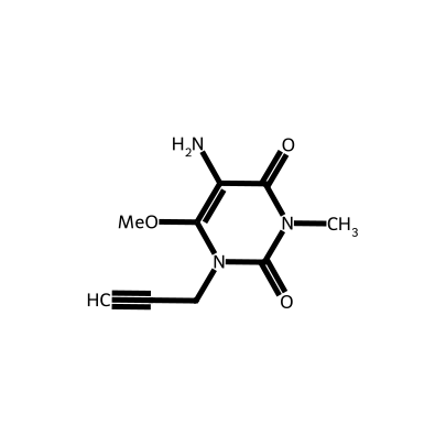 C#CCn1c(OC)c(N)c(=O)n(C)c1=O